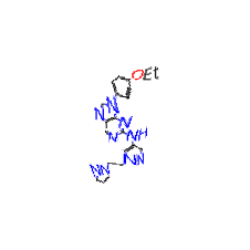 CCOc1ccc(-n2cnc3cnc(Nc4cnn(CCn5cccn5)c4)nc32)cc1